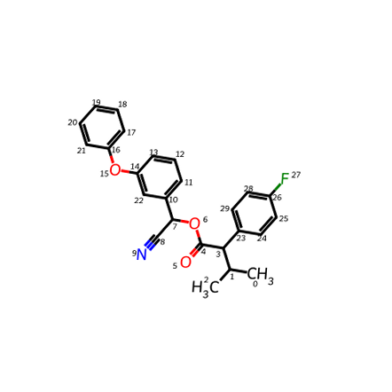 CC(C)C(C(=O)OC(C#N)c1cccc(Oc2ccccc2)c1)c1ccc(F)cc1